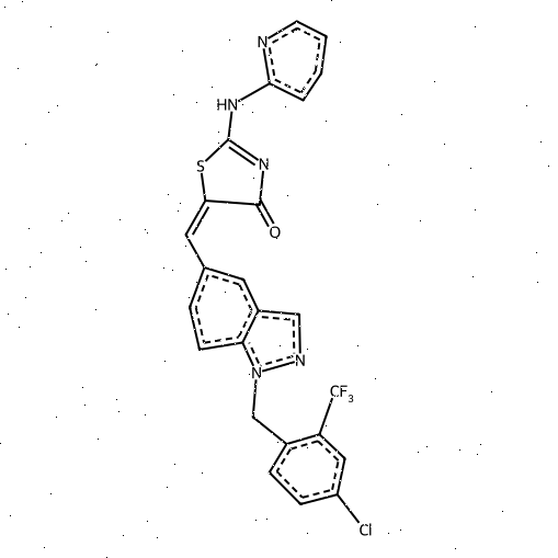 O=C1N=C(Nc2ccccn2)SC1=Cc1ccc2c(cnn2Cc2ccc(Cl)cc2C(F)(F)F)c1